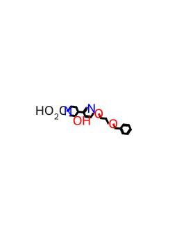 O=C(O)N1CCC(c2ccc(OCCCOCc3ccccc3)nc2)C(O)C1